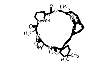 CC(C)[C@@H]1NC(=O)C2(/C=C/c3ccc4ccc(nc4c3)[C@@H](C)OC(=O)[C@@H]3CCCN(N3)C(=O)[C@H](C)NC1=O)CCC(C)(C)CC2